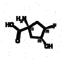 N[C@@]1(C(=O)O)C[C@@H](O)[C@H](F)C1